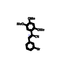 COc1cc(OC)c(/C(C#N)=C/c2cccc(Br)c2)cc1OC